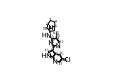 CN1C2CCC1CC(Nc1nc(-c3c[nH]c4ncc(Cl)cc34)ncc1F)C2